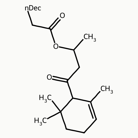 CCCCCCCCCCCC(=O)OC(C)CC(=O)C1C(C)=CCCC1(C)C